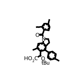 Cc1ccc(-c2c3c(cc(C)c2C(OC(C)(C)C)C(=O)O)N(C(=O)c2ccc(C)cc2C)CC3)cc1